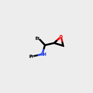 CCC(NC(C)C)C1CO1